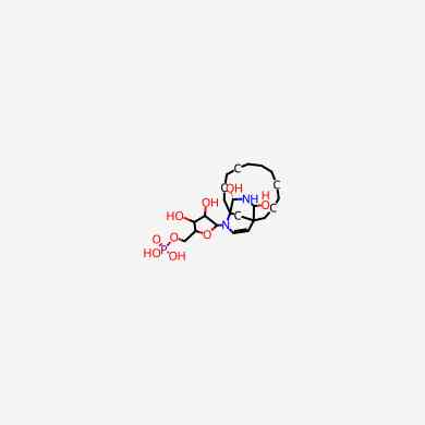 O=P(O)(O)OCC1OC(N2C=CC34CCCCCCCCCCCC2(C3)[C@H](O)NC4O)C(O)C1O